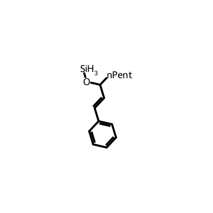 CCCCCC(C=Cc1ccccc1)O[SiH3]